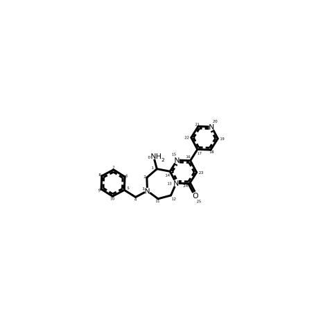 NC1CN(Cc2ccccc2)CCn2c1nc(-c1ccncc1)cc2=O